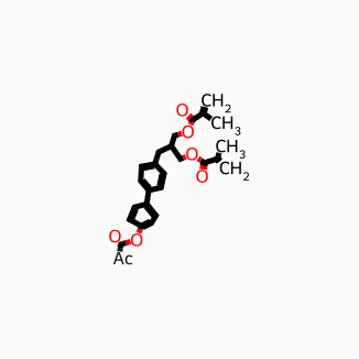 C=C(C)C(=O)OCC(COC(=O)C(=C)C)Cc1ccc(-c2ccc(OC(=O)C(C)=O)cc2)cc1